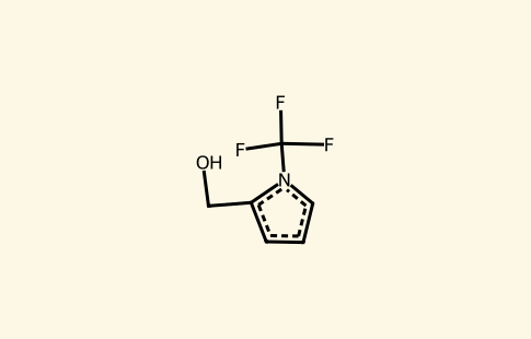 OCc1cccn1C(F)(F)F